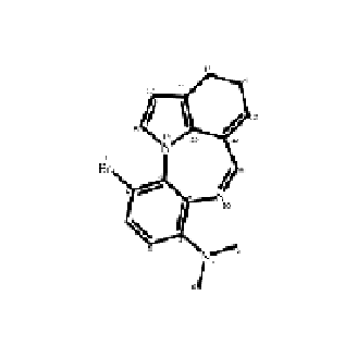 CN(C)c1ccc(Br)c2c1N=CC1=CCCc3ccn-2c31